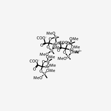 CO[Si](C)(OC)OC(O[Si](C)(OC)OC)(C(C)=O)C(=O)C(=O)[O-].CO[Si](C)(OC)OC(O[Si](C)(OC)OC)(C(C)=O)C(=O)C(=O)[O-].CO[Si](C)(OC)OC(O[Si](C)(OC)OC)(C(C)=O)C(=O)C(=O)[O-].[Al+3]